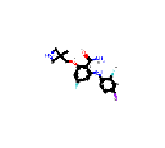 CC1(COc2cc(F)cc(Nc3ccc(I)cc3F)c2C(N)=O)CNC1